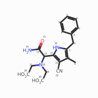 Cc1c(Cc2ccccc2)[nH]c(C(C(N)=O)N(CC(=O)O)CC(=O)O)c1C#N